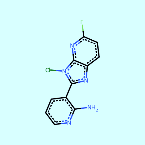 Nc1ncccc1-c1nc2ccc(F)nc2n1Cl